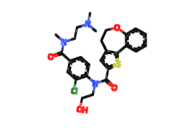 CN(C)CCN(C)C(=O)c1ccc(N(CCO)C(=O)c2cc3c(s2)-c2ccccc2OCC3)c(Cl)c1